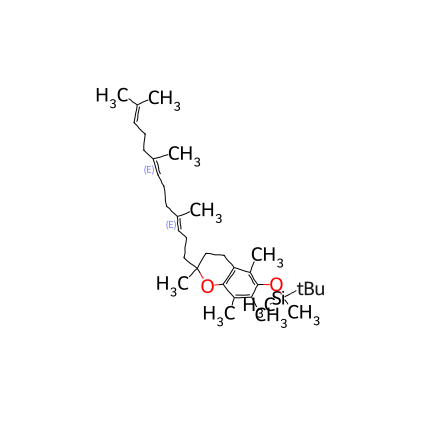 CC(C)=CCC/C(C)=C/CC/C(C)=C/CCC1(C)CCc2c(C)c(O[Si](C)(C)C(C)(C)C)c(C)c(C)c2O1